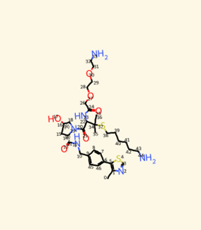 Cc1ncsc1-c1ccc(CNC(=O)[C@@H]2C[C@@H](O)CN2C(=O)C(NC(=O)COCCOCCN)C(C)(C)SCCCCCCN)cc1